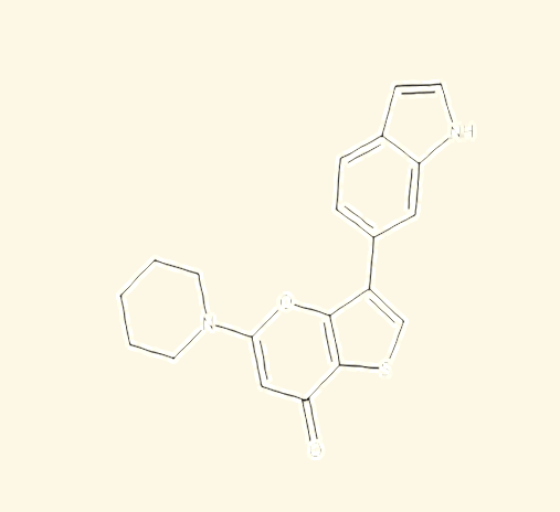 O=c1cc(N2CCCCC2)oc2c(-c3ccc4cc[nH]c4c3)csc12